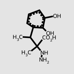 CC(c1cccc(O)c1O)C(C)(NN)C(=O)O